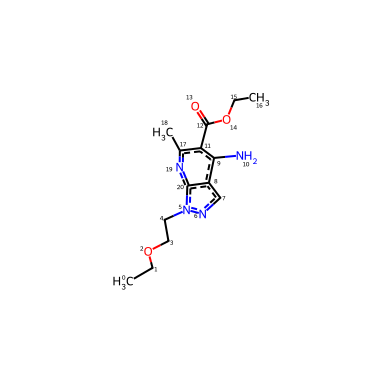 CCOCCn1ncc2c(N)c(C(=O)OCC)c(C)nc21